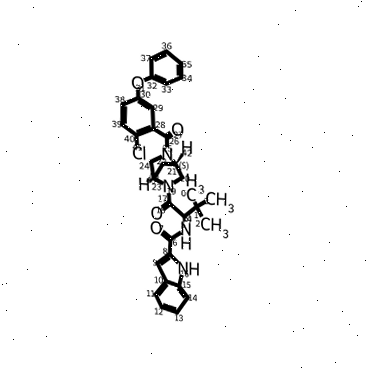 CC(C)(C)[C@H](NC(=O)c1cc2ccccc2[nH]1)C(=O)N1C[C@@H]2C[C@H]1CN2C(=O)c1cc(Oc2ccccc2)ccc1Cl